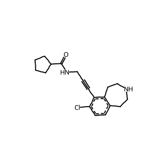 O=C(NCC#Cc1c(Cl)ccc2c1CCNCC2)C1CCCC1